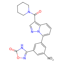 O=C(c1cnn2c(-c3cc(-c4noc(=O)[nH]4)cc([N+](=O)[O-])c3)cccc12)N1CCCCC1